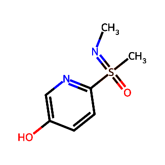 CN=S(C)(=O)c1ccc(O)cn1